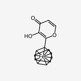 O=c1ccoc([C]23[CH]4[CH]5[CH]6[CH]2[Fe]56432789[CH]3[CH]2[CH]7[CH]8[CH]39)c1O